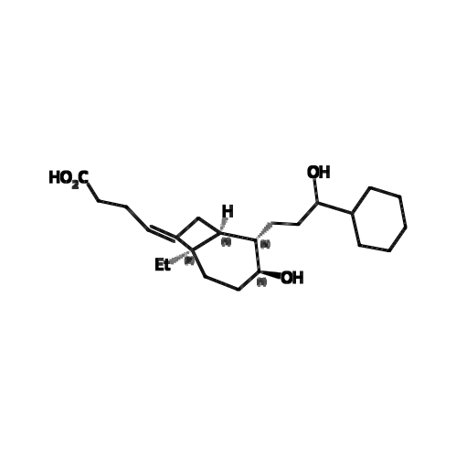 CC[C@@]12CC[C@H](O)[C@@H](CCC(O)C3CCCCC3)[C@@H]1CC2=CCCC(=O)O